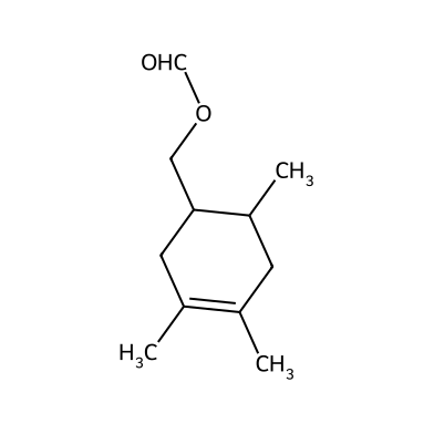 CC1=C(C)CC(COC=O)C(C)C1